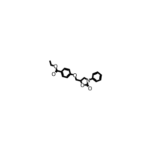 CCOC(=O)c1ccc(OCC2CN(c3ccccc3)C(=O)O2)cc1